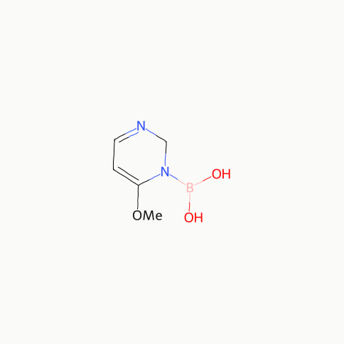 COC1=CC=NCN1B(O)O